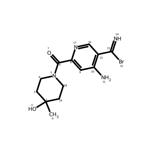 CC1(O)CCN(C(=O)c2cc(N)c(C(=N)Br)cn2)CC1